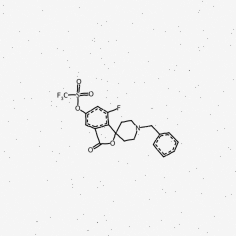 O=C1OC2(CCN(Cc3ccccc3)CC2)c2c(F)cc(OS(=O)(=O)C(F)(F)F)cc21